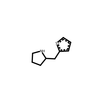 c1csc(CC2CCCN2)c1